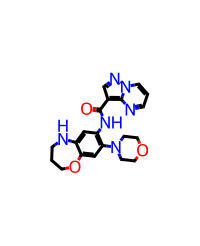 O=C(Nc1cc2c(cc1N1CCOCC1)OCCCN2)c1cnn2cccnc12